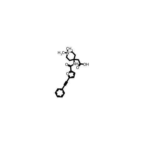 C[N+]1(C)CCC(CC(=O)O)(NC(=O)c2ccc(C#Cc3ccccc3)o2)CC1